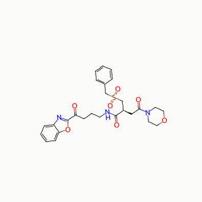 O=C(CCCNC(=O)[C@H](CC(=O)N1CCOCC1)CS(=O)(=O)Cc1ccccc1)c1nc2ccccc2o1